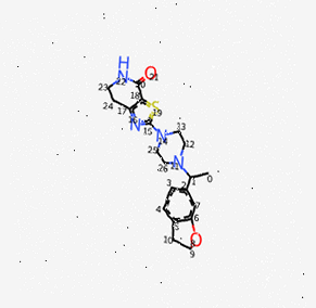 CC(c1ccc2c(c1)OCC2)N1CCN(c2nc3c(s2)C(=O)NCC3)CC1